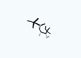 C[C@@H]([C@@H](O)C(C)(C)C)N(C)C(C)(C)C